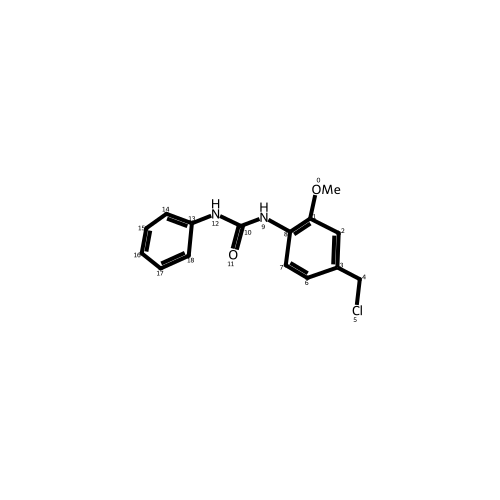 COc1cc(CCl)ccc1NC(=O)Nc1ccccc1